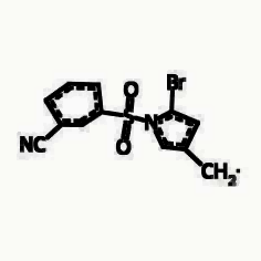 [CH2]c1cc(Br)n(S(=O)(=O)c2cccc(C#N)c2)c1